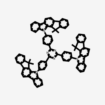 CC1(C)c2ccccc2-c2ccc3c4ccccc4n(-c4ccc(-c5nc(-c6ccc(-n7c8ccccc8c8ccc9c(c87)C(C)(C)c7ccccc7-9)cc6)nc(-c6ccc(-n7c8ccccc8c8ccc9c(c87)C(C)(C)c7ccccc7-9)cc6)n5)cc4)c3c21